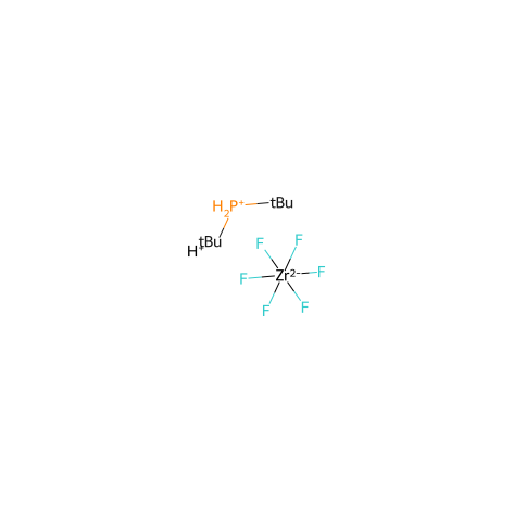 CC(C)(C)[PH2+]C(C)(C)C.[F][Zr-2]([F])([F])([F])([F])[F].[H+]